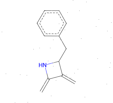 C=C1NC(Cc2ccccc2)C1=C